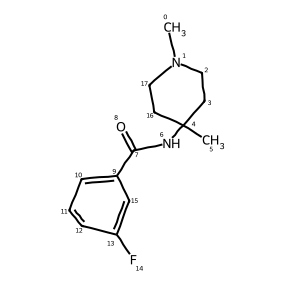 CN1CCC(C)(NC(=O)c2cccc(F)c2)CC1